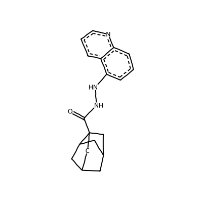 O=C(NNc1cccc2ncccc12)C12CC3CC(CC1C3)C2